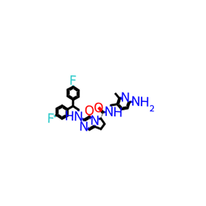 Cc1nc(N)ccc1CNC(=O)[C@@H]1CCc2cnc(NCC(c3ccc(F)cc3)c3ccc(F)cc3)c(=O)n21